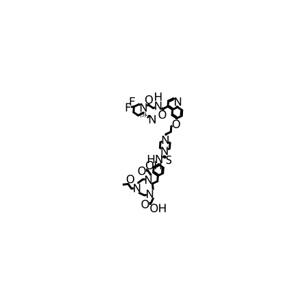 CC(=O)CN1CCN(CC(=O)O)CC(Cc2ccc(NC(=S)N3CCN(CCCOc4ccc5nccc(C(=O)NCC(=O)N6CC(F)(F)CC[C@H]6C#N)c5c4)CC3)cc2)N(CC(=O)O)CC1